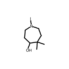 CC1(C)CCN(I)CCC1O